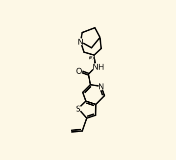 C=Cc1cc2cnc(C(=O)N[C@@H]3CC4CCN(C4)C3)cc2s1